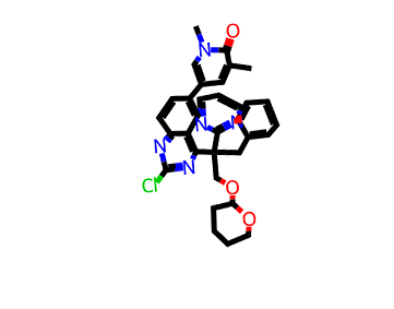 Cc1cc(-c2ccc3nc(Cl)nc(C(COC4CCCCO4)(Cc4ccccc4)c4ncccn4)c3c2)cn(C)c1=O